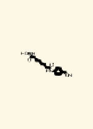 N#CCc1ccc(NC(=O)CCCCCCC(=O)NO)cc1